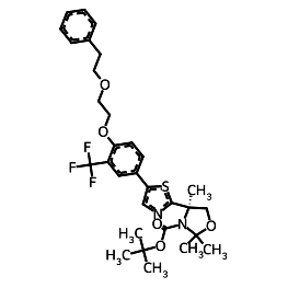 CC(C)(C)OC(=O)N1C(C)(C)OC[C@]1(C)c1ncc(-c2ccc(OCCOCCc3ccccc3)c(C(F)(F)F)c2)s1